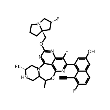 C#Cc1c(F)ccc2cc(O)cc(-c3nc4c5c(nc(OC[C@@]67CCCN6C[C@H](F)C7)nc5c3F)N3C[C@@H](CC)NCC3C(C)O4)c12